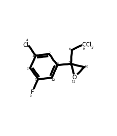 Fc1cc(Cl)cc(C2(CC(Cl)(Cl)Cl)CO2)c1